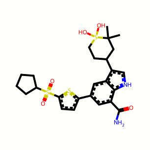 CC1(C)CC(c2c[nH]c3c(C(N)=O)cc(-c4ccc(S(=O)(=O)C5CCCC5)s4)cc23)CCS1(O)O